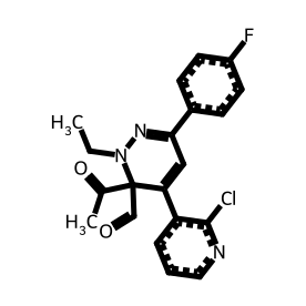 CCN1N=C(c2ccc(F)cc2)C=C(c2cccnc2Cl)C1(C=O)C(C)=O